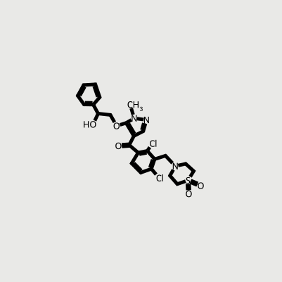 Cn1ncc(C(=O)c2ccc(Cl)c(CN3CCS(=O)(=O)CC3)c2Cl)c1OCC(O)c1ccccc1